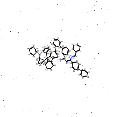 N=C(/C=C(\N=C\c1ccccc1)c1ccc(-c2ccccc2)cc1)c1cccc(-c2ccccc2-c2ccc3c(c2)C2(c4ccccc4-3)c3ccccc3N(c3ccccc3)c3ccccc32)c1